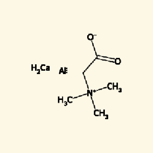 C[N+](C)(C)CC(=O)[O-].[Al].[CaH2]